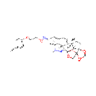 Cc1ccc(OCCO/N=C2\C=C[C@@]3(C)C(=C2)CC[C@@H]2[C@@H]3/C(=N\N(C)C)C[C@@]3(C)[C@H]2CC[C@@]32OCOC23COCO3)cc1